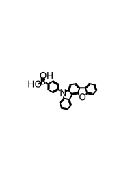 OB(O)c1ccc(-n2c3ccccc3c3c4oc5ccccc5c4ccc32)cc1